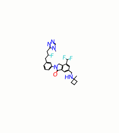 Cn1cnnc1C[C@@H](F)Cc1cccc(N2Cc3c(cc(CNC4(C)CCC4)cc3C(F)F)C2=O)c1